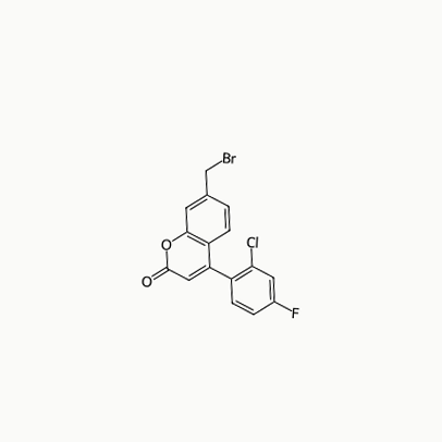 O=c1cc(-c2ccc(F)cc2Cl)c2ccc(CBr)cc2o1